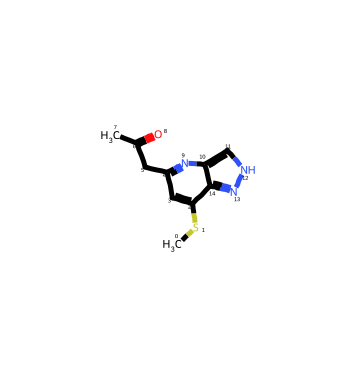 CSc1cc(CC(C)=O)nc2c[nH]nc12